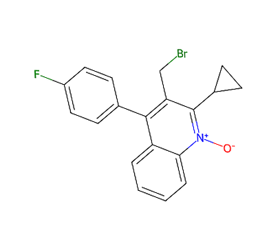 [O-][n+]1c(C2CC2)c(CBr)c(-c2ccc(F)cc2)c2ccccc21